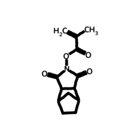 C=C(C)C(=O)ON1C(=O)C2C3CCC(C3)C2C1=O